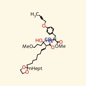 CC#CCOc1ccc(C[C@H](NC(=O)[C@@H](C=CCCCCCCC2(CCCCCCC)OCCO2)[C@@](O)(CCCOC)C(=O)O)C(=O)OC)cc1